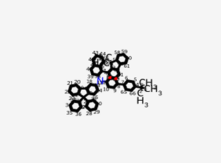 CC(C)(C)c1ccc(-c2ccc(N(c3ccc4c(c3)-c3ccccc3C4(c3ccccc3)c3ccccc3)c3ccc4ccccc4c3-c3cccc4c3C(C)(C)c3ccccc3-4)cc2)cc1